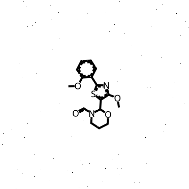 COc1ccccc1-c1nc(OC)c(C2OCCCN2C=O)s1